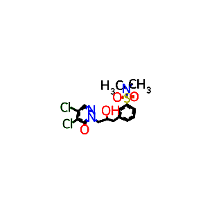 CN(C)S(=O)(=O)c1cccc(CC(O)Cn2ncc(Cl)c(Cl)c2=O)c1